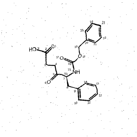 O=C(O)CCC(=O)[C@H](Cc1ccccc1)NC(=O)OCc1ccccc1